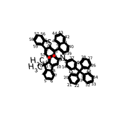 CC1(C)c2ccccc2-c2cc(N(c3ccc(C(c4ccccc4)(c4ccccc4)c4ccccc4)cc3)c3ccc4ccccc4c3-c3cccc4c3sc3ccccc34)ccc21